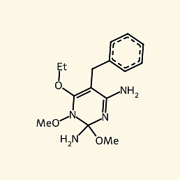 CCOC1=C(Cc2ccccc2)C(N)=NC(N)(OC)N1OC